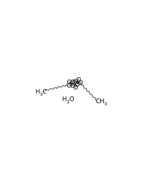 CCCCCCCCCCCCOS(=O)(=O)OS(=O)(=O)OS(=O)(=O)OCCCCCCCCCCCC.O